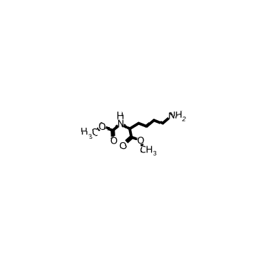 COC(=O)NC(CCCCN)C(=O)OC